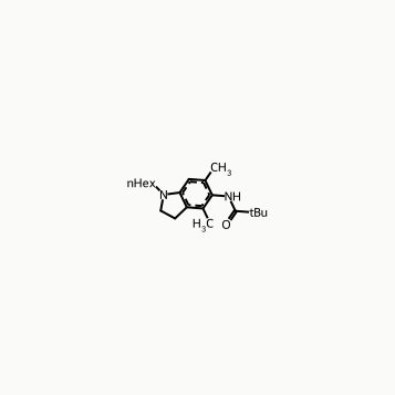 CCCCCCN1CCc2c1cc(C)c(NC(=O)C(C)(C)C)c2C